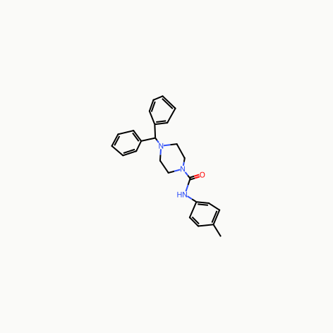 Cc1ccc(NC(=O)N2CCN(C(c3ccccc3)c3ccccc3)CC2)cc1